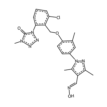 Cc1cc(-n2nc(C)c(C=NO)c2C)ccc1OCc1c(Cl)cccc1-n1nnn(C)c1=O